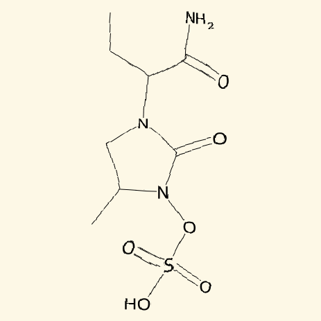 CCC(C(N)=O)N1CC(C)N(OS(=O)(=O)O)C1=O